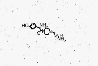 NNN=CN1CCN(C(=O)[C@H](N)c2ccc(O)cc2)CC1